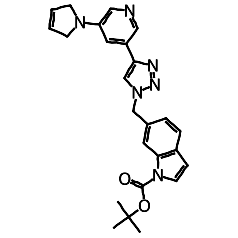 CC(C)(C)OC(=O)n1ccc2ccc(Cn3cc(-c4cncc(N5CC=CC5)c4)nn3)cc21